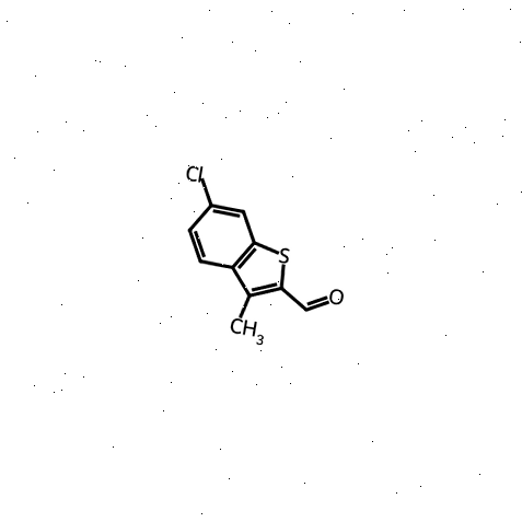 Cc1c(C=O)sc2cc(Cl)ccc12